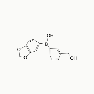 OCc1cccc(B(O)c2ccc3c(c2)OCO3)c1